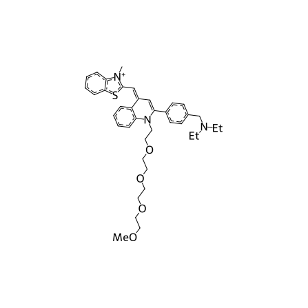 CCN(CC)Cc1ccc(C2=C/C(=C/c3sc4ccccc4[n+]3C)c3ccccc3N2CCOCCOCCOCCOC)cc1